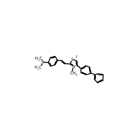 CN(C)c1ccc(/C=C/c2scc(-c3ccc(-c4ccccc4)cc3)[n+]2C)cc1.[I-]